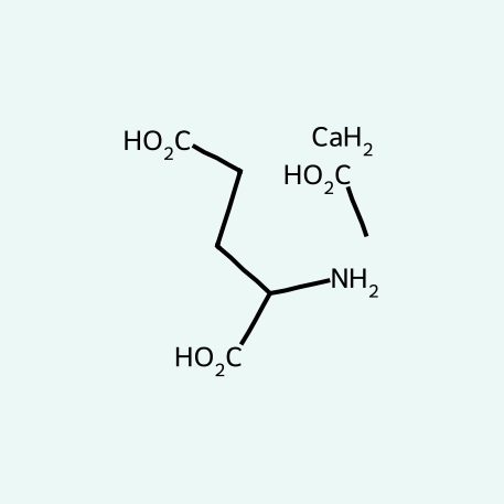 CC(=O)O.NC(CCC(=O)O)C(=O)O.[CaH2]